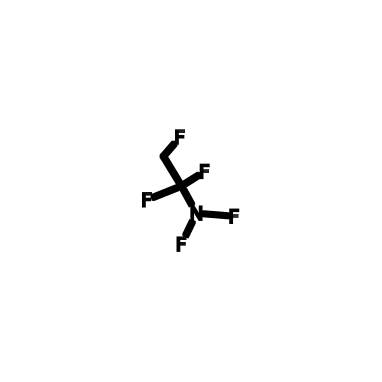 FCC(F)(F)N(F)F